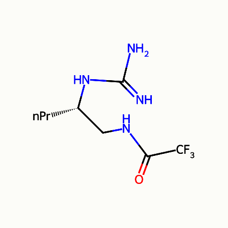 CCC[C@@H](CNC(=O)C(F)(F)F)NC(=N)N